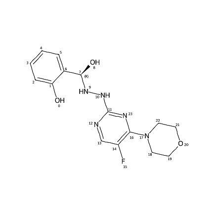 Oc1ccccc1[C@@H](O)NNc1ncc(F)c(N2CCOCC2)n1